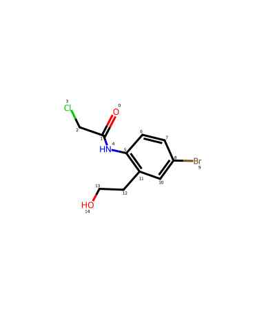 O=C(CCl)Nc1ccc(Br)cc1CCO